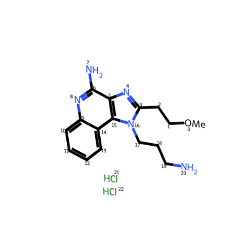 COCCc1nc2c(N)nc3ccccc3c2n1CCCN.Cl.Cl